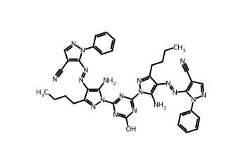 CCCCc1nn(-c2nc(O)nc(-n3nc(CCCC)c(N=Nc4c(C#N)cnn4-c4ccccc4)c3N)n2)c(N)c1N=Nc1c(C#N)cnn1-c1ccccc1